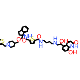 O=C(NCCCCNCC(O)c1ccc(O)c2[nH]c(=O)ccc12)c1ccc(CNC2(C(=O)OCC3CCN(Cc4cccs4)CC3)CCc3ccccc32)s1